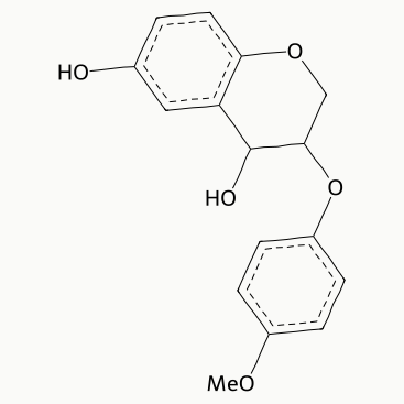 COc1ccc(OC2COc3ccc(O)cc3C2O)cc1